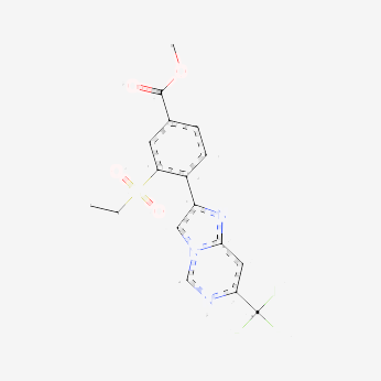 CCS(=O)(=O)c1cc(C(=O)OC)ccc1-c1cn2cnc(C(F)(F)F)cc2n1